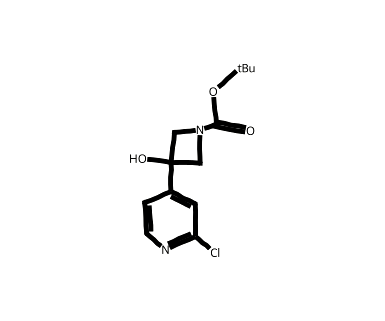 CC(C)(C)OC(=O)N1CC(O)(c2ccnc(Cl)c2)C1